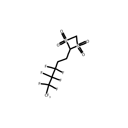 O=S1(=O)CS(=O)(=O)C1CCC(F)(F)C(F)(F)C(F)(F)C(F)(F)F